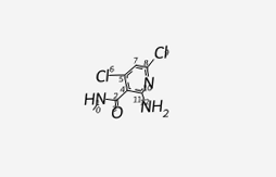 CNC(=O)c1c(Cl)cc(Cl)nc1N